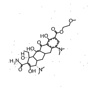 CC[C@]1(O)C(C(N)=O)=C(O)[C@@H](N(C)C)C2CC3Cc4c(N(C)C)cc(C(=O)OCCOC)c(O)c4C(=O)C3=C(O)C21